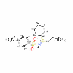 CCCCCCCCCCCCS(=NS(=O)(=O)c1ccc([N+](=O)[O-])cc1)C1CCCCC1